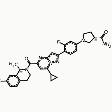 C[C@@H]1c2cc(F)ccc2CCN1C(=O)c1cc(C2CC2)n2nc(-c3ccc(N4CC[C@H](C(N)=O)C4)cc3F)cc2n1